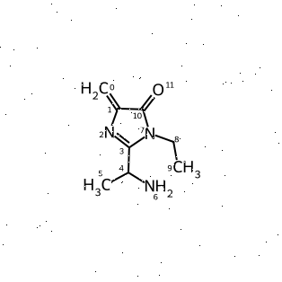 C=C1N=C(C(C)N)N(CC)C1=O